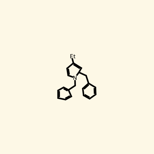 CCC1=CC(Cc2ccccc2)N(Cc2ccccc2)C=C1